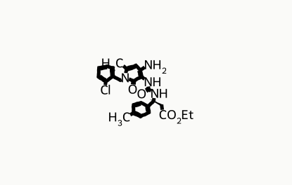 CCOC(=O)C[C@H](NC(=O)Nc1c(N)cc(C)n(Cc2ccccc2Cl)c1=O)c1ccc(C)cc1